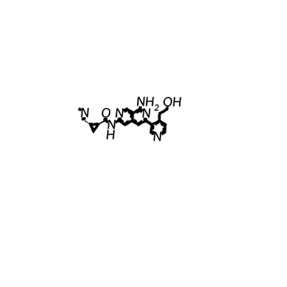 CN=C[C@H]1C[C@@H]1C(=O)Nc1cc2cc(-c3cnccc3CCO)nc(N)c2cn1